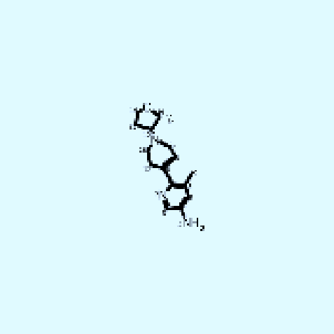 Cc1cc(N)cnc1C1=CCN([C@H]2CCO[C@@H]2C)CC1